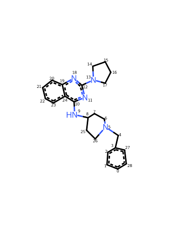 c1ccc(CN2CCC(Nc3nc(N4CCCC4)nc4ccccc34)CC2)cc1